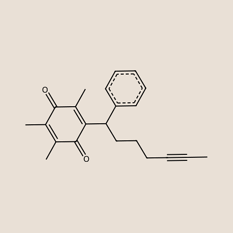 CC#CCCCC(C1=C(C)C(=O)C(C)=C(C)C1=O)c1ccccc1